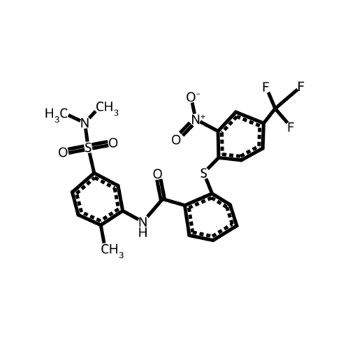 Cc1ccc(S(=O)(=O)N(C)C)cc1NC(=O)c1ccccc1Sc1ccc(C(F)(F)F)cc1[N+](=O)[O-]